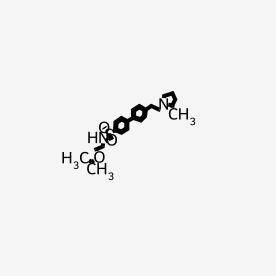 CC(C)OCCNS(=O)(=O)c1ccc(-c2ccc(CCN3CCCC3C)cc2)cc1